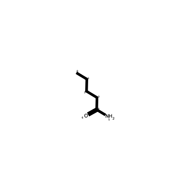 CCCCC(N)=O